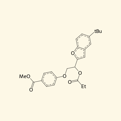 CCC(=O)OC(COc1ccc(C(=O)OC)cc1)c1cc2cc(C(C)(C)C)ccc2o1